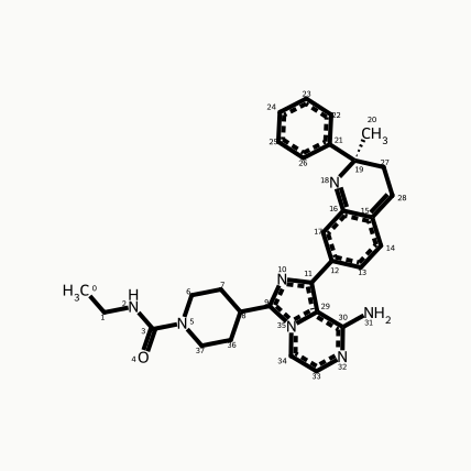 CCNC(=O)N1CCC(c2nc(-c3ccc4c(c3)=N[C@@](C)(c3ccccc3)CC=4)c3c(N)nccn23)CC1